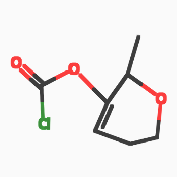 CC1OCCC=C1OC(=O)Cl